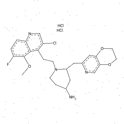 COc1c(F)ccc2ncc(Cl)c(CCN3CCC(N)CC3Cc3cc4c(cn3)OCCO4)c12.Cl.Cl